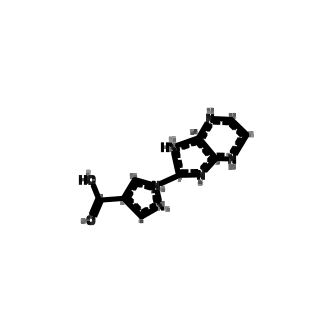 O=C(O)c1cnn(-c2nc3nccnc3[nH]2)c1